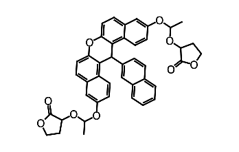 CC(Oc1ccc2c3c(ccc2c1)Oc1ccc2cc(OC(C)OC4CCOC4=O)ccc2c1C3c1ccc2ccccc2c1)OC1CCOC1=O